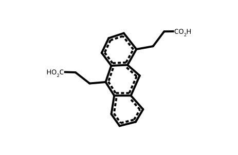 O=C(O)CCc1cccc2c(CCC(=O)O)c3ccccc3cc12